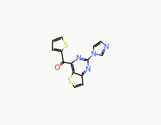 O=C(c1cccs1)c1nc(-n2ccnc2)nc2ccsc12